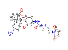 Nc1ccc2c(c1)Oc1cc(NC(=O)NCCCN3C(=O)C=CC3=O)ccc1C21OC(=O)c2ccccc21